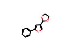 c1ccc(-c2cc(C3OCCO3)co2)cc1